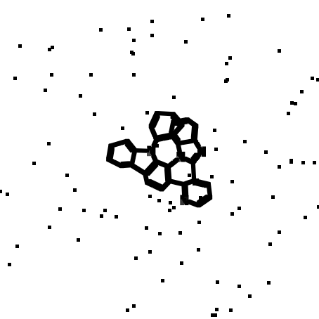 c1ccc(-n2c3ccccc3c3ccc4c5ncccc5c5nc6ccccc6n5c4c32)cc1